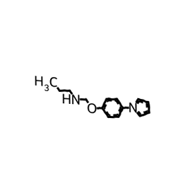 CCCNCOc1ccc(-n2cccc2)cc1